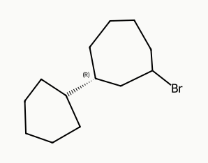 BrC1CCCC[C@@H](C2CCCCC2)C1